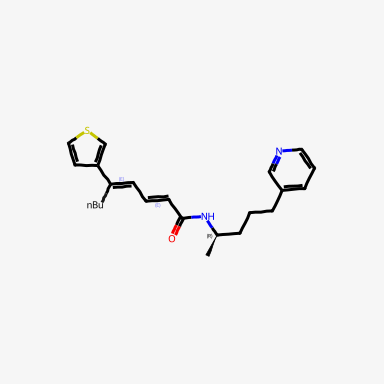 CCCC/C(=C\C=C\C(=O)N[C@H](C)CCCc1cccnc1)c1ccsc1